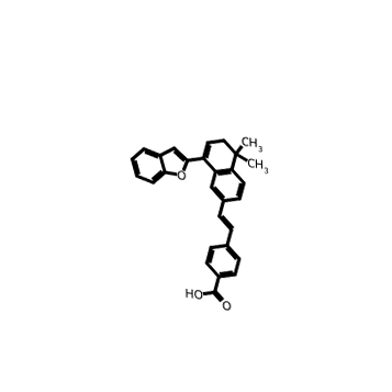 CC1(C)CC=C(c2cc3ccccc3o2)c2cc(/C=C/c3ccc(C(=O)O)cc3)ccc21